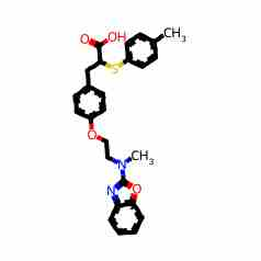 Cc1ccc(SC(Cc2ccc(OCCN(C)c3nc4ccccc4o3)cc2)C(=O)O)cc1